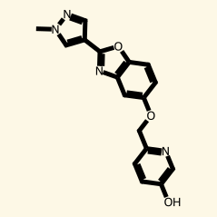 Cn1cc(-c2nc3cc(OCc4ccc(O)cn4)ccc3o2)cn1